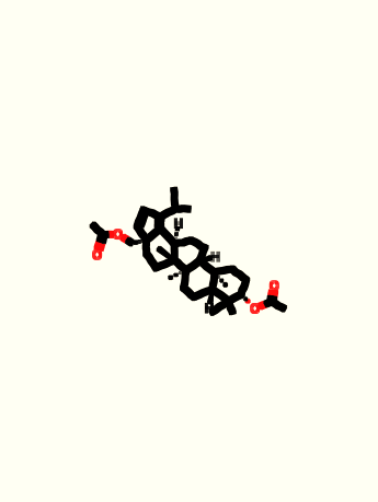 CC(=O)OC[C@]12C=CC(C(C)C)=C1[C@H]1CC[C@@H]3[C@@]4(C)CC[C@H](OC(C)=O)C(C)(C)[C@@H]4CC[C@@]3(C)[C@]1(C)CC2